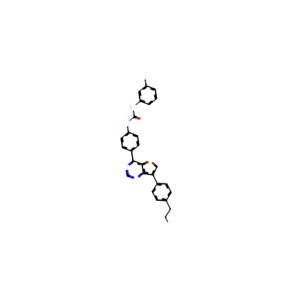 O=C(O)CCc1ccc(-c2csc3c(-c4ccc(NC(=O)Nc5cccc(C(F)(F)F)c5)cc4)ncnc23)cc1